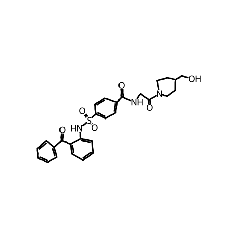 O=C(NCC(=O)N1CCC(CO)CC1)c1ccc(S(=O)(=O)Nc2ccccc2C(=O)c2ccccc2)cc1